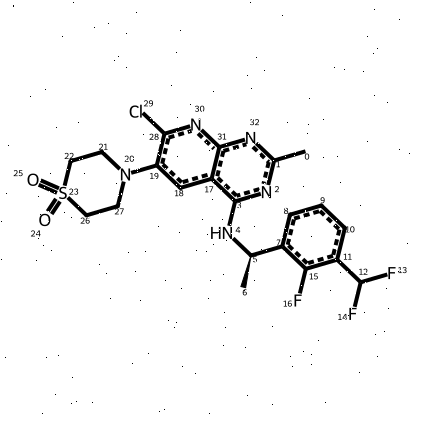 Cc1nc(N[C@H](C)c2cccc(C(F)F)c2F)c2cc(N3CCS(=O)(=O)CC3)c(Cl)nc2n1